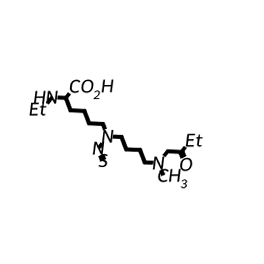 CCNC(CCCCN(CCCCN(C)CC(=O)CC)N=S)C(=O)O